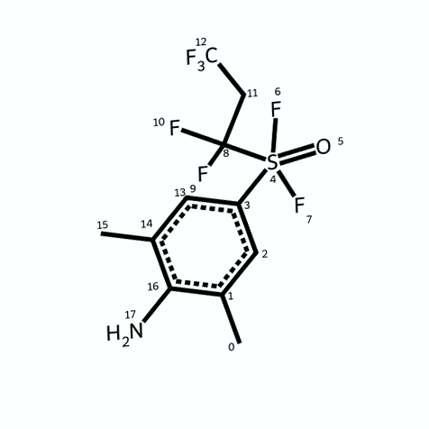 Cc1cc(S(=O)(F)(F)C(F)(F)CC(F)(F)F)cc(C)c1N